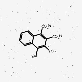 CCCCc1c(C(=O)O)c(C(=O)O)c2ccccc2c1CCCC